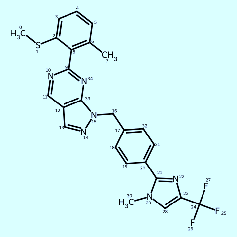 CSc1cccc(C)c1-c1ncc2cnn(Cc3ccc(-c4nc(C(F)(F)F)cn4C)cc3)c2n1